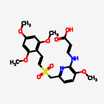 COc1cc(OC)c(/C=C/S(=O)(=O)Cc2ccc(OC)c(NC=CC(=O)O)n2)c(OC)c1